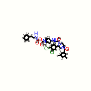 Cc1cc(C)cc(C(=O)N2CCN(C(=O)CNC3C[C@H]4CC3CN4C(=O)OC(=O)NCCc3ccccc3)[C@H](c3ccc(Cl)c(Cl)c3)C2)c1